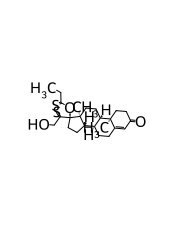 CCC(=S)O[C@]1(C(=S)CO)CC[C@H]2[C@@H]3CCC4=CC(=O)CC[C@]4(C)[C@H]3CC[C@@]21C